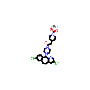 CC(C)(C)OC(=O)N1CCC(CC(=O)N2CCN(C3c4ccc(Cl)cc4CCc4cc(Br)cnc43)CC2)CC1